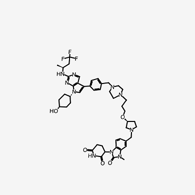 C[C@@H](CC(F)(F)F)Nc1ncc2c(-c3ccc(CN4CCN(CCCO[C@H]5CCN(Cc6ccc7c(c6)n(C)c(=O)n7C6CCC(=O)NC6=O)C5)CC4)cc3)cn([C@H]3CC[C@H](O)CC3)c2n1